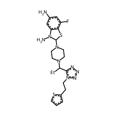 CCC(c1nnnn1CCc1cccs1)N1CCN(C2Sc3c(F)cc(N)cc3N2N)CC1